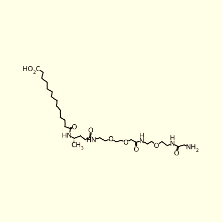 C[C@@H](CCC(=O)NCCOCCOCC(=O)NCCOCCNC(=O)CN)NC(=O)CCCCCCCCCCCCC(=O)O